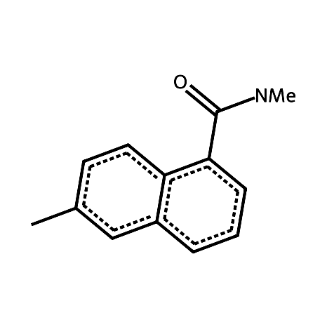 CNC(=O)c1cccc2cc(C)ccc12